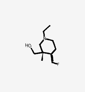 CCN1CC/C(=C\F)[C@](C)(CO)C1